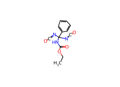 CCOC(=O)NC(N=C=O)(N=C=O)c1ccccc1